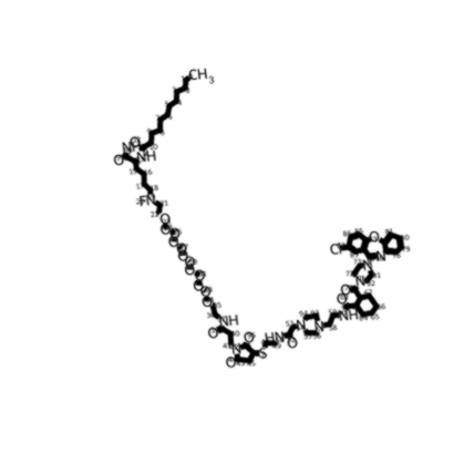 CCCCCCCCCCCC(=O)NC(CCCCN(F)CCOOOOOOOOOOOOCCNC(=O)CCN1C(=O)CC(SCCNC(=O)CN2CCN(CCNC(=O)C3CCCCC3C(=O)N3CCN(C4=Nc5ccccc5Oc5ccc(Cl)cc54)CC3)CC2)C1=O)C(N)=O